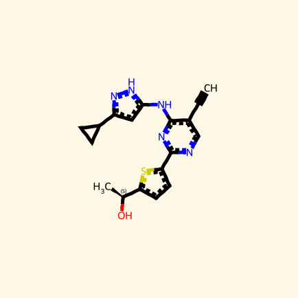 C#Cc1cnc(-c2ccc([C@H](C)O)s2)nc1Nc1cc(C2CC2)n[nH]1